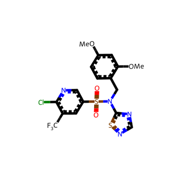 COc1ccc(CN(c2ncns2)S(=O)(=O)c2cnc(Cl)c(C(F)(F)F)c2)c(OC)c1